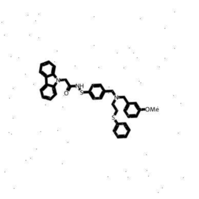 COc1cccc(CN(CCSc2ccccc2)Cc2ccc(SNC(=O)Cn3c4ccccc4c4ccccc43)cc2)c1